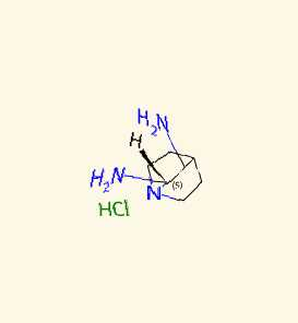 Cl.NC1C2CCN(CC2)[C@@H]1N